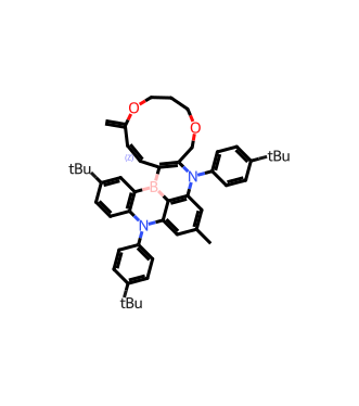 C=C1/C=C\C2=C(COCCCO1)N(c1ccc(C(C)(C)C)cc1)c1cc(C)cc3c1B2c1cc(C(C)(C)C)ccc1N3c1ccc(C(C)(C)C)cc1